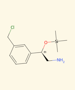 C[Si](C)(C)O[C@@H](CN)c1cccc(CCl)c1